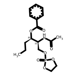 CCC[C@@H](OC(=O)c1ccccc1)[C@H](COP1(=O)OCCO1)NC(C)=O